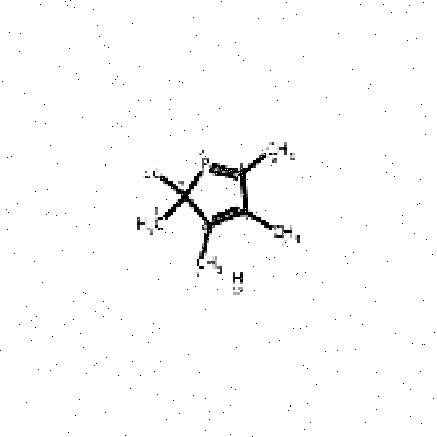 CC1=P[C](C)([Sc])C(C)=C1C.[H-]